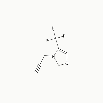 C#CCN1CO[C]=C1C(F)(F)F